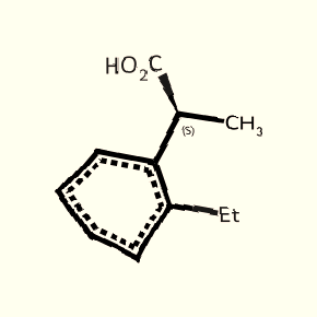 CCc1ccccc1[C@H](C)C(=O)O